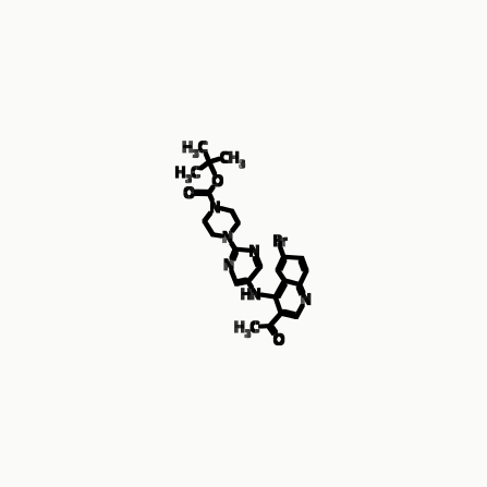 CC(=O)c1cnc2ccc(Br)cc2c1Nc1cnc(N2CCN(C(=O)OC(C)(C)C)CC2)nc1